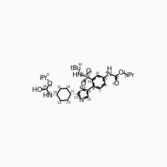 CC(C)OC(=O)Nc1ccc(-c2cnc([C@H]3CC[C@@H](NC(O)OC(C)C)CC3)s2)c(S(=O)(=O)NC(C)(C)C)c1